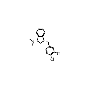 CN(C)[C@H]1C[C@@H](Cc2ccc(Cl)c(Cl)c2)c2ccccc21